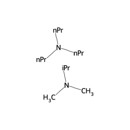 CC(C)N(C)C.CCCN(CCC)CCC